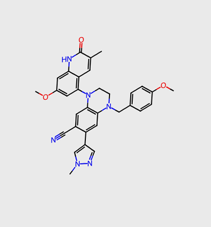 COc1ccc(CN2CCN(c3cc(OC)cc4[nH]c(=O)c(C)cc34)c3cc(C#N)c(-c4cnn(C)c4)cc32)cc1